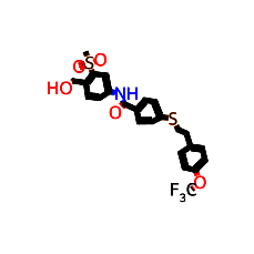 CS(=O)(=O)c1cc(NC(=O)c2ccc(SCCc3ccc(OC(F)(F)F)cc3)cc2)ccc1CO